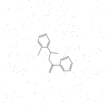 C=C(CC(C)c1ccccc1C)c1ccccc1